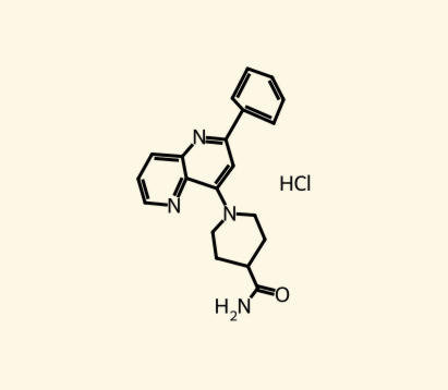 Cl.NC(=O)C1CCN(c2cc(-c3ccccc3)nc3cccnc23)CC1